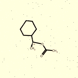 CC(=O)O[C@@H](C)C1CCCCC1